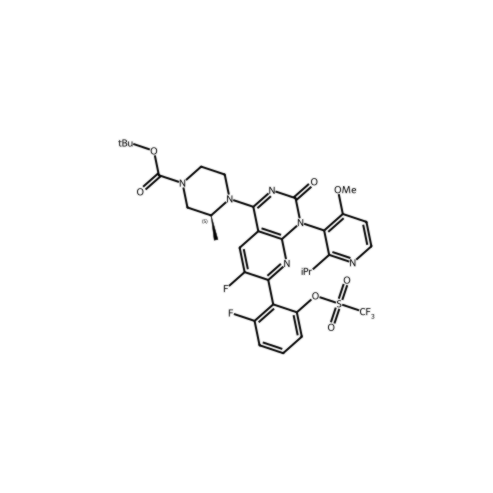 COc1ccnc(C(C)C)c1-n1c(=O)nc(N2CCN(C(=O)OC(C)(C)C)C[C@@H]2C)c2cc(F)c(-c3c(F)cccc3OS(=O)(=O)C(F)(F)F)nc21